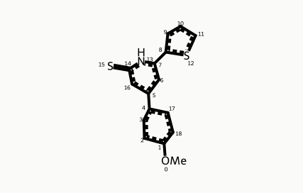 COc1ccc(-c2cc(-c3cccs3)[nH]c(=S)c2)cc1